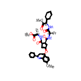 CC[C@H](NC(=O)C1CC(Oc2cc(-c3ccccc3)nc3cc(OC)ccc23)C=C1C(=O)N[C@@H](C(=O)N[C@@H](C(=O)OC)C1CCCCC1)C(C)C)C(=O)OC(C)(C)C